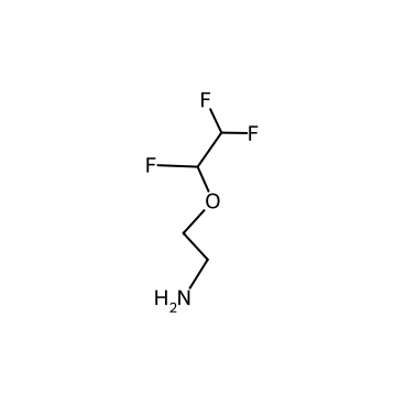 NCCOC(F)C(F)F